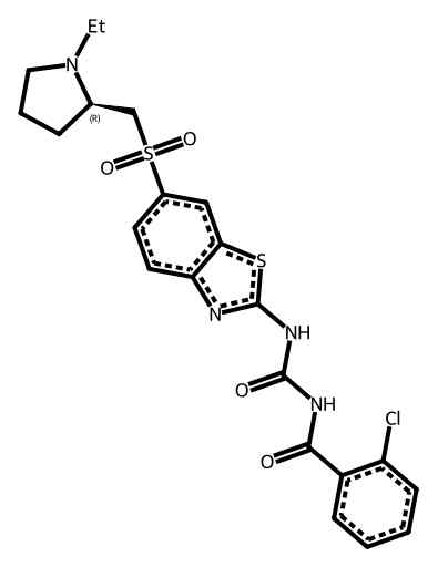 CCN1CCC[C@@H]1CS(=O)(=O)c1ccc2nc(NC(=O)NC(=O)c3ccccc3Cl)sc2c1